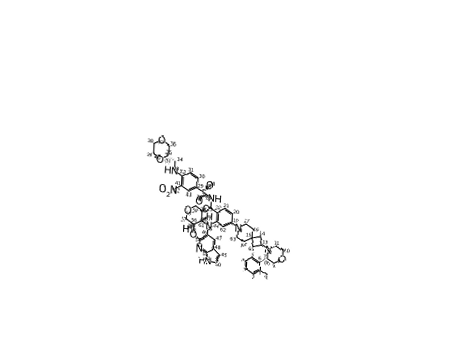 Cc1ccccc1[C@@H]1COCCN1C1CC2(CCN(c3ccc(C(=O)NS(=O)(=O)c4ccc(NC[C@H]5COCCO5)c([N+](=O)[O-])c4)c(N4c5cc6cc[nH]c6nc5O[C@H]5COCC[C@@H]54)c3)CC2)C1